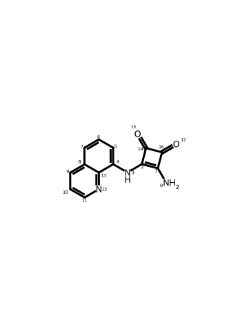 Nc1c(Nc2cccc3cccnc23)c(=O)c1=O